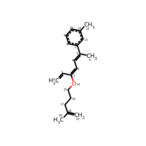 C=C/C(=C\C=C(/C)c1cccc(C)c1)OCCCC(=C)C